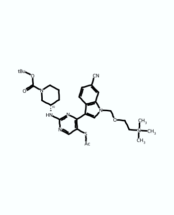 CC(=O)Sc1cnc(N[C@H]2CCCN(C(=O)OC(C)(C)C)C2)nc1-c1cn(COCC[Si](C)(C)C)c2cc(C#N)ccc12